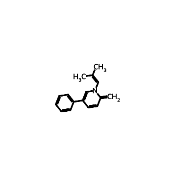 C=C1C=CC(c2ccccc2)=CN1C=C(C)C